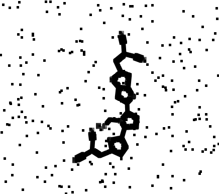 CCn1c(-c2ccc(C=C(C#N)C#N)o2)ccc1-c1cc2sc(C=C(C#N)C#N)cc2o1